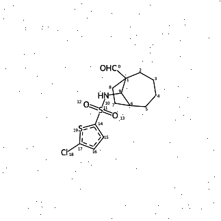 O=CC12CCCCC(CC1)C2NS(=O)(=O)c1ccc(Cl)s1